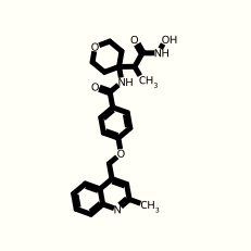 Cc1cc(COc2ccc(C(=O)NC3(C(C)C(=O)NO)CCOCC3)cc2)c2ccccc2n1